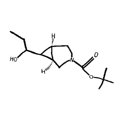 CCC(O)C1[C@H]2CN(C(=O)OC(C)(C)C)C[C@@H]12